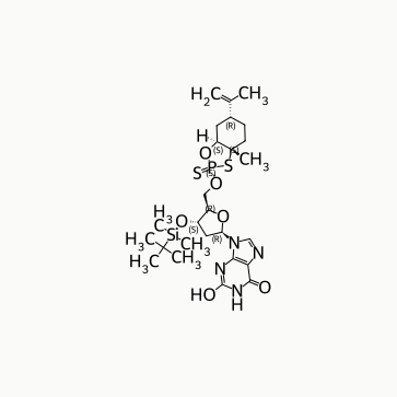 C=C(C)[C@@H]1CC[C@]2(C)S[P@@](=S)(OC[C@H]3O[C@@H](n4cnc5c(=O)[nH]c(O)nc54)C[C@@H]3O[Si](C)(C)C(C)(C)C)O[C@H]2C1